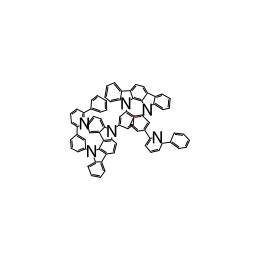 c1ccc(-c2cccc(-c3cccc(-n4c5ccccc5c5ccc6c(c7ccccc7n6-c6cccc(-n7c8ccccc8c8ccc9c%10ccccc%10n(-c%10cccc(-c%11cccc(-c%12ccccc%12)n%11)c%10)c9c87)c6)c54)c3)n2)cc1